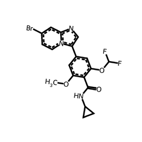 COc1cc(-c2cnc3cc(Br)ccn23)cc(OC(F)F)c1C(=O)NC1CC1